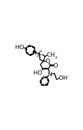 CC(C)C1(CCc2ccc(O)cc2)CC(O)=C(N(CCO)c2ccccc2)C(=O)O1